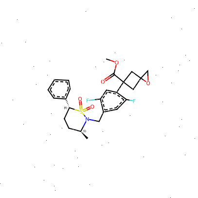 COC(=O)C1(c2cc(F)c(CN3[C@@H](C)CC[C@H](c4ccccc4)S3(=O)=O)cc2F)CC2(CO2)C1